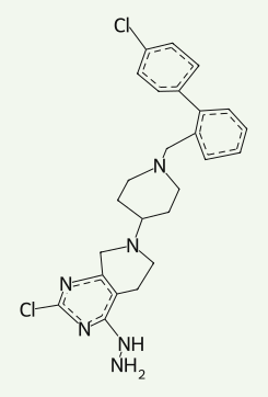 NNc1nc(Cl)nc2c1CCN(C1CCN(Cc3ccccc3-c3ccc(Cl)cc3)CC1)C2